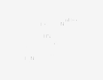 CCCCCCN1CC[C@H](NC(=O)c2cc(Cl)c(N)c3c2OCC3)[C@H](O)C1